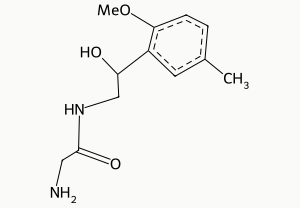 COc1ccc(C)cc1C(O)CNC(=O)CN